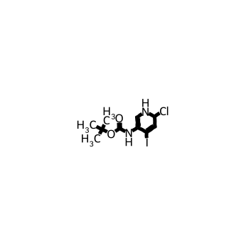 CC(C)(C)OC(=O)NC1=CNC(Cl)C=C1I